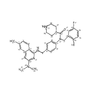 Cc1ccc2c(NCc3ccc(N(Cc4cc(F)ccc4F)C(=O)C4CCNCC4)cc3)nc(N(C)C)nc2c1